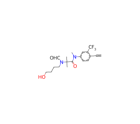 C#Cc1ccc(N(C)C(=O)C(C)(C)N(C=O)CCCCO)cc1C(F)(F)F